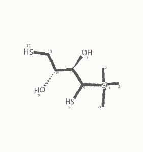 C[Si](C)(C)C(S)[C@H](O)[C@H](O)CS